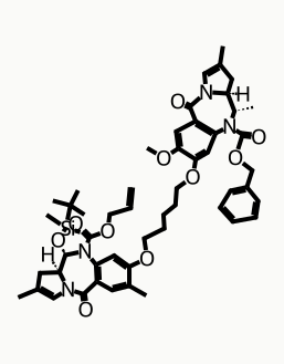 C=CCOC(=O)N1c2cc(OCCCCCOc3cc4c(cc3OC)C(=O)N3C=C(C)C[C@H]3[C@H](C)N4C(=O)OCc3ccccc3)c(C)cc2C(=O)N2C=C(C)C[C@H]2[C@@H]1O[Si](C)(C)C(C)(C)C